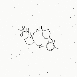 Cc1ccc2c(c1)[C@H]1CC[C@H](CC1)OC[C@@H]1C(CCC[C@@H]1NS(C)(=O)=O)CO2